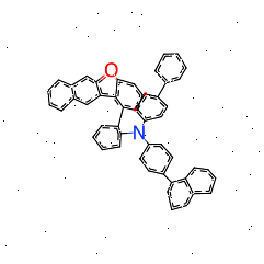 c1ccc(-c2ccc(N(c3ccc(-c4cccc5ccccc45)cc3)c3ccccc3-c3cccc4oc5cc6ccccc6cc5c34)cc2)cc1